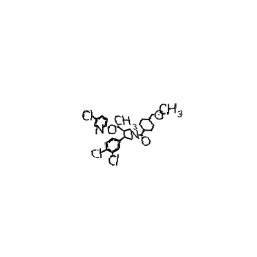 COCC1CCC(C(=O)N2CC(c3ccc(Cl)c(Cl)c3)C(C(C)Oc3ccc(Cl)cn3)C2)CC1